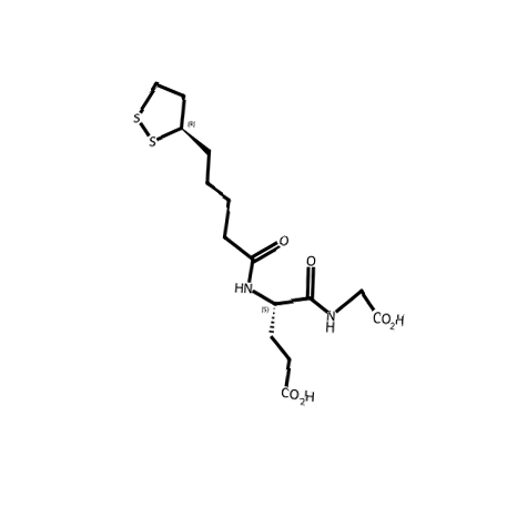 O=C(O)CC[C@H](NC(=O)CCCC[C@@H]1CCSS1)C(=O)NCC(=O)O